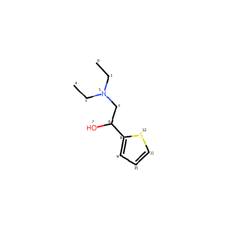 CCN(CC)CC(O)c1cccs1